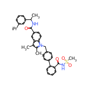 Cc1c(C)n(Cc2ccc(-c3ccccc3C(=O)NS(C)(=O)=O)cc2)c2ccc(C(=O)NC(C)c3cccc(C(C)C)c3)cc12